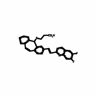 O=C(O)CCSC1c2ccccc2C=Cc2ccc(C=Cc3ccc4cc(F)c(F)cc4n3)cc21